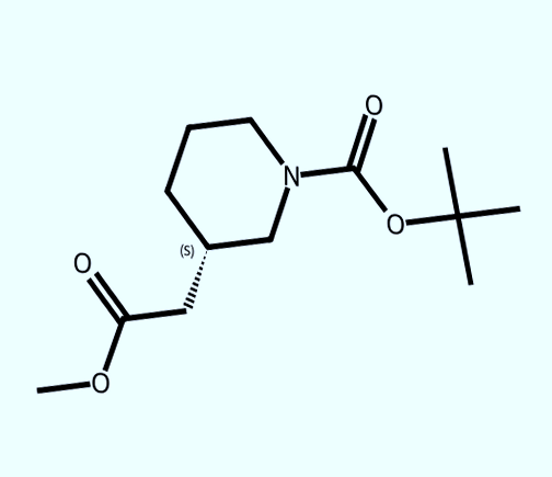 COC(=O)C[C@@H]1CCCN(C(=O)OC(C)(C)C)C1